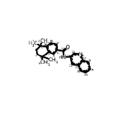 CC1(C)CCC(C)(C)c2cc(C(=O)Nc3cnc4ccccc4c3)ccc21